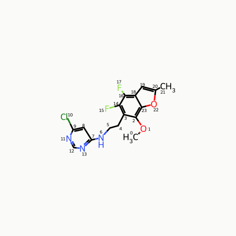 COc1c(CCNc2cc(Cl)ncn2)c(F)c(F)c2cc(C)oc12